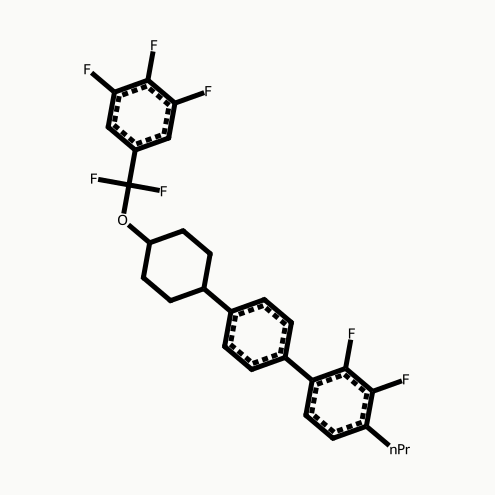 CCCc1ccc(-c2ccc(C3CCC(OC(F)(F)c4cc(F)c(F)c(F)c4)CC3)cc2)c(F)c1F